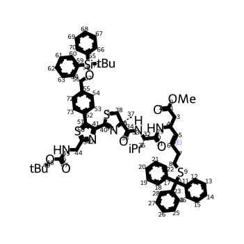 COC(=O)CC(/C=C/CCSC(c1ccccc1)(c1ccccc1)c1ccccc1)NC(=O)[C@@H](NC(=O)[C@]1(C)CSC(c2nc(CNC(=O)OC(C)(C)C)sc2-c2ccc(CO[Si](c3ccccc3)(c3ccccc3)C(C)(C)C)cc2)=N1)C(C)C